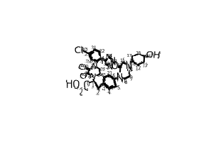 O=C(O)C(Cc1ccc(N2CCN(C3CCC(O)CC3)CC2=O)cc1)N1CCN(c2cc(Cl)ccc2-n2cnnn2)C(=O)C1=O